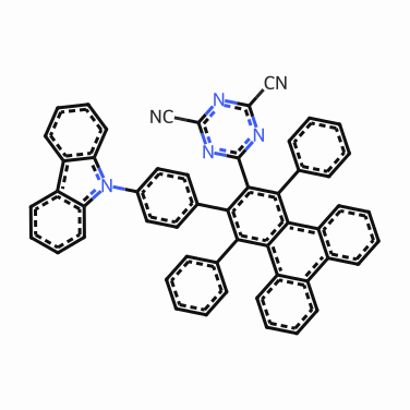 N#Cc1nc(C#N)nc(-c2c(-c3ccc(-n4c5ccccc5c5ccccc54)cc3)c(-c3ccccc3)c3c4ccccc4c4ccccc4c3c2-c2ccccc2)n1